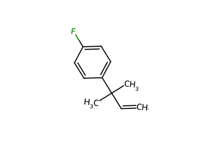 [CH]=CC(C)(C)c1ccc(F)cc1